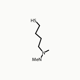 CNN(C)CCCCS